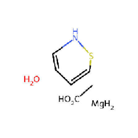 C1=CNSC=C1.CC(=O)O.O.[MgH2]